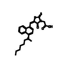 CCCCCCN(C)c1ccc(C=C2SC(=S)N(CC(=O)O)C2=O)c2ccccc12